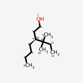 CCCC[C@@H](CCO)C(C)(C)CC